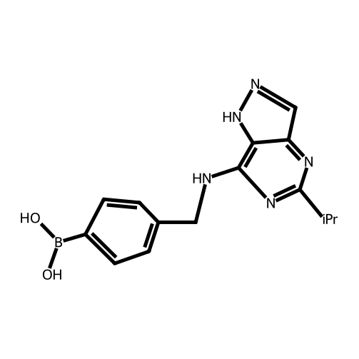 CC(C)c1nc(NCc2ccc(B(O)O)cc2)c2[nH]ncc2n1